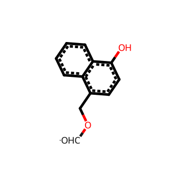 O=[C]OCc1ccc(O)c2ccccc12